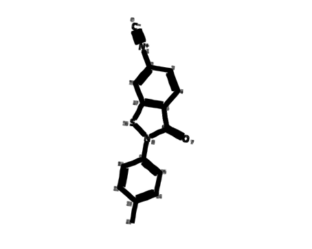 [C-]#[N+]c1ccc2c(=O)n(-c3ccc(C)cc3)sc2c1